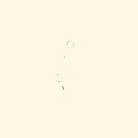 CN1C(=O)[C@@H](N2C=CC(Oc3ccc(C(F)(F)F)nc3)=CC2)COc2ccc(C#CC(C)(C)O)cc21